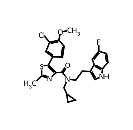 COc1ccc(-c2sc(C)nc2C(=O)N(CCc2c[nH]c3ccc(F)cc23)CC2CC2)cc1Cl